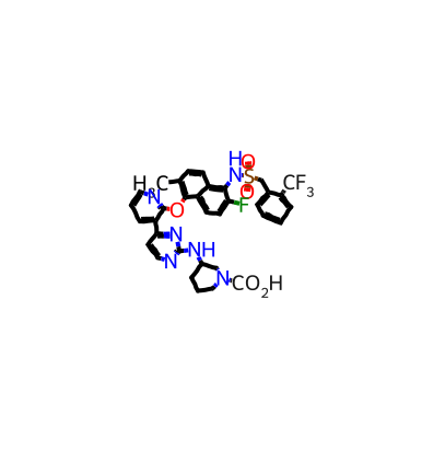 Cc1ccc2c(NS(=O)(=O)Cc3ccccc3C(F)(F)F)c(F)ccc2c1Oc1ncccc1-c1ccnc(NC2CCCN(C(=O)O)C2)n1